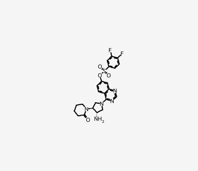 N[C@H]1CN(c2ncnc3cc(OS(=O)(=O)c4ccc(F)c(F)c4)ccc23)C[C@@H]1N1CCCCC1=O